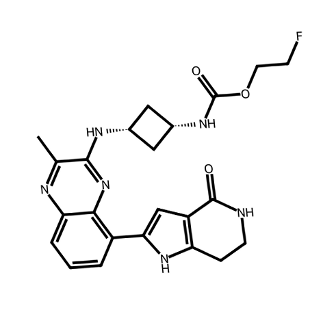 Cc1nc2cccc(-c3cc4c([nH]3)CCNC4=O)c2nc1N[C@H]1C[C@@H](NC(=O)OCCF)C1